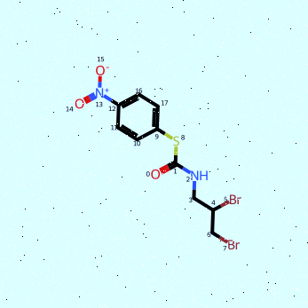 O=C(NCC(Br)CBr)Sc1ccc([N+](=O)[O-])cc1